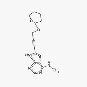 CNc1ncnc2[nH]c(C#CCOC3CCCCO3)cc12